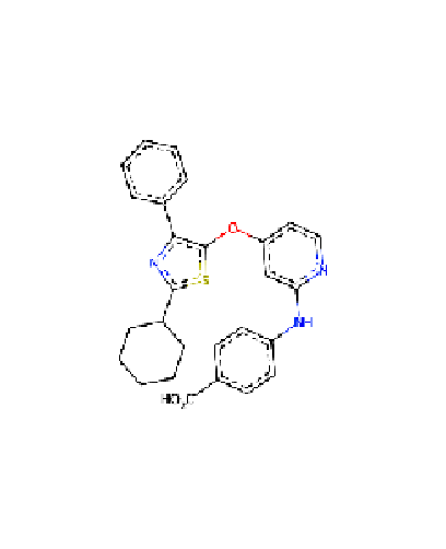 O=C(O)c1ccc(Nc2cc(Oc3sc(C4CCCCC4)nc3-c3ccccc3)ccn2)cc1